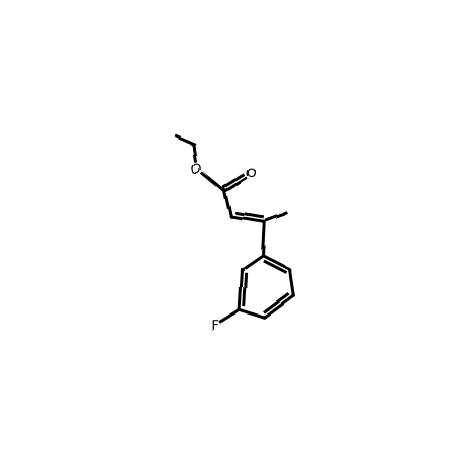 CCOC(=O)C=C(C)c1cccc(F)c1